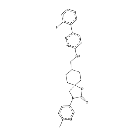 Cc1ccc(N2C[C@]3(CC[C@@H](CNc4ccc(-c5ccccc5F)nn4)CC3)OC2=O)cn1